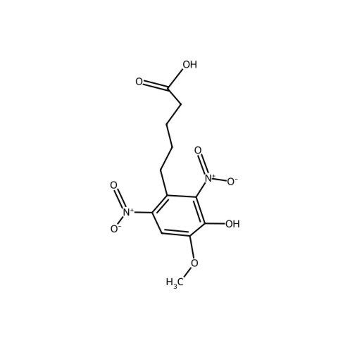 COc1cc([N+](=O)[O-])c(CCCCC(=O)O)c([N+](=O)[O-])c1O